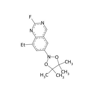 CCc1cc(N2OC(C)(C)C(C)(C)O2)cc2cnc(F)nc12